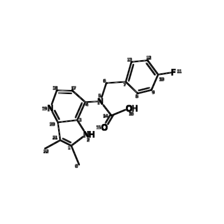 Cc1[nH]c2c(N(Cc3ccc(F)cc3)C(=O)O)ccnc2c1C